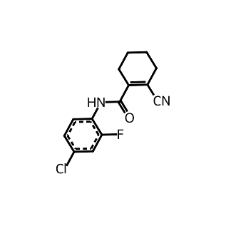 N#CC1=C(C(=O)Nc2ccc(Cl)cc2F)CCCC1